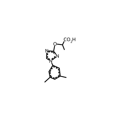 Cc1cc(C)cc(-n2cnc(OC(C)C(=O)O)n2)c1